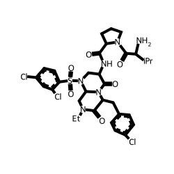 CCN1CC2N(C(=O)C(NC(=O)C3CCCN3C(=O)C(N)C(C)C)CN2S(=O)(=O)c2ccc(Cl)cc2Cl)C(Cc2ccc(Cl)cc2)C1=O